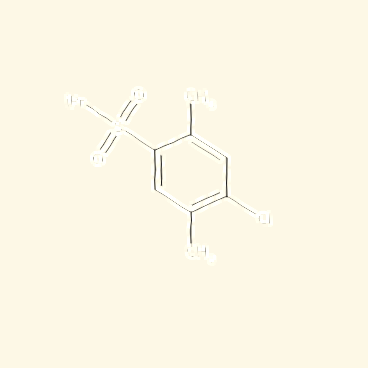 Cc1cc(S(=O)(=O)C(C)C)c(C)cc1Cl